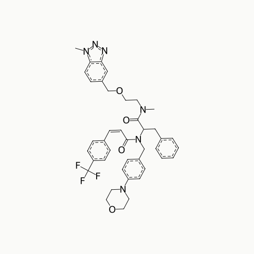 CN(CCOCc1ccc2c(c1)nnn2C)C(=O)C(Cc1ccccc1)N(Cc1ccc(N2CCOCC2)cc1)C(=O)C=Cc1ccc(C(F)(F)F)cc1